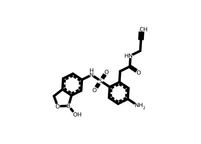 C#CCNC(=O)Cc1cc(N)ccc1S(=O)(=O)Nc1ccc2c(c1)B(O)OC2